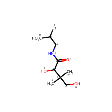 CCC(CNC(=O)C(O)C(C)(C)CO)C(=O)O